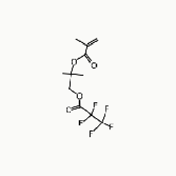 C=C(C)C(=O)OC(C)(C)COC(=O)C(F)(F)C(F)(F)F